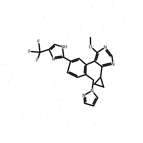 COc1ncnc(C2CC2)c1-c1cc(-c2nc(C(F)(F)F)c[nH]2)ccc1Cn1cccn1